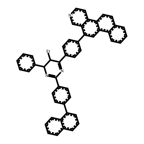 CCC1C(c2ccc(-c3cc4c5ccccc5ccc4c4ccncc34)cc2)=NC(c2ccc(-c3cccc4ccccc34)cc2)=NC1c1ccccc1